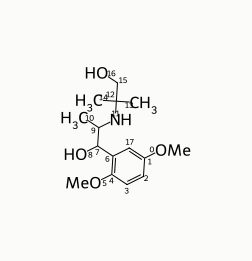 COc1ccc(OC)c(C(O)C(C)NC(C)(C)CO)c1